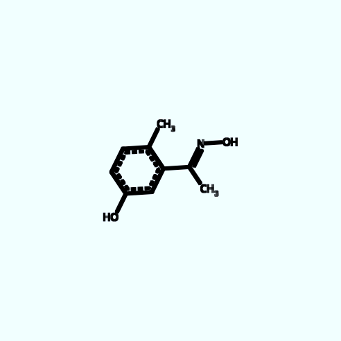 CC(=NO)c1cc(O)ccc1C